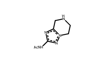 CC(=O)Nc1nc2n(n1)CCNC2